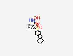 CC(C)[C@@H]([AsH]S(=O)(=O)c1ccc2c(c1)CC1=C2CCCC1)C(=O)NO